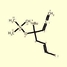 C=C=CC(C/C=C/I)(CCCC)O[Si](C)(C)C